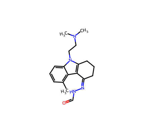 Cc1cccc2c1c1c(n2CCN(C)C)CCC/C1=N/NC=O